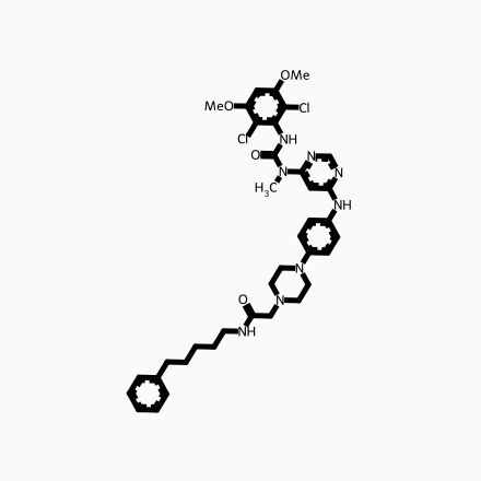 COc1cc(OC)c(Cl)c(NC(=O)N(C)c2cc(Nc3ccc(N4CCN(CC(=O)NCCCCCc5ccccc5)CC4)cc3)ncn2)c1Cl